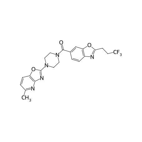 Cc1ccc2oc(N3CCN(C(=O)c4ccc5nc(CCC(F)(F)F)oc5c4)CC3)nc2n1